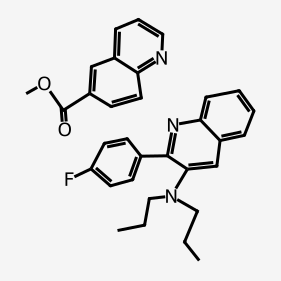 CCCN(CCC)c1cc2ccccc2nc1-c1ccc(F)cc1.COC(=O)c1ccc2ncccc2c1